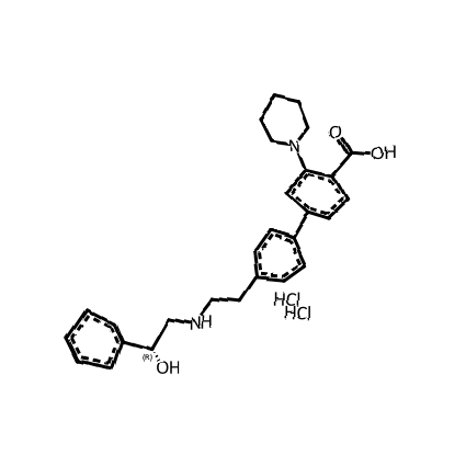 Cl.Cl.O=C(O)c1ccc(-c2ccc(CCNC[C@H](O)c3ccccc3)cc2)cc1N1CCCCC1